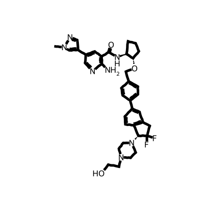 Cn1cc(-c2cnc(N)c(C(=O)N[C@H]3CCC[C@@H]3OCc3ccc(-c4ccc5c(c4)CC(F)(F)[C@@H]5N4CCN(CCO)CC4)cc3)c2)cn1